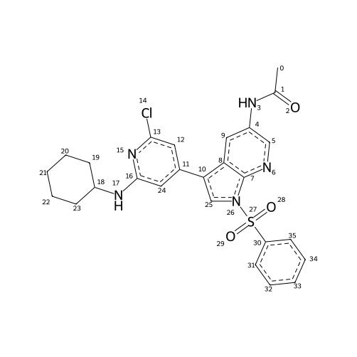 CC(=O)Nc1cnc2c(c1)c(-c1cc(Cl)nc(NC3CCCCC3)c1)cn2S(=O)(=O)c1ccccc1